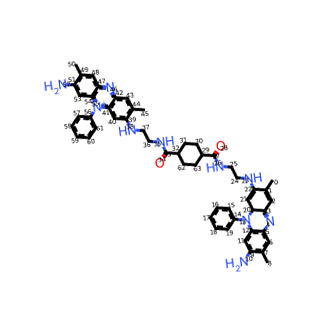 CC1=CC2=Nc3cc(C)c(N)cc3N(c3ccccc3)C2C=C1NCCNC(=O)C1CCC(C(=O)NCCNc2cc3c(cc2C)nc2cc(C)c(N)cc2[n+]3-c2ccccc2)CC1